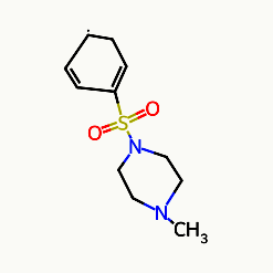 CN1CCN(S(=O)(=O)C2=CC[CH]C=C2)CC1